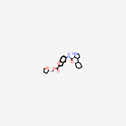 O=C(OC[C@@H]1CCCO1)c1cc2cc(NC(=O)[C@H]3NCCC3C3CCCCC3)ccc2o1